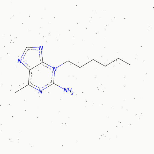 CCCCCCn1c(N)nc(C)c2ncnc1-2